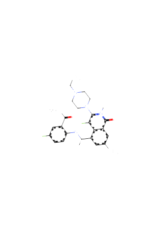 COC(=O)c1cc(F)ccc1N[C@H](C)c1cc(C)cc2c(=O)n(C)c(N3CCN(CC(F)(F)F)CC3)c(F)c12